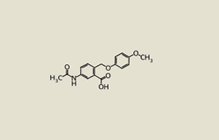 COc1ccc(OCc2ccc(NC(C)=O)cc2C(=O)O)cc1